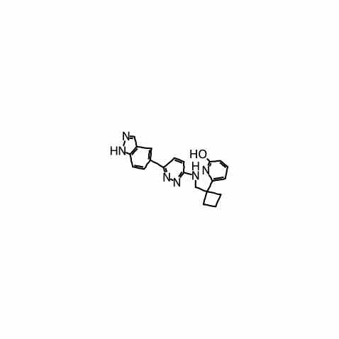 Oc1cccc(C2(CNc3ccc(-c4ccc5[nH]ncc5c4)nn3)CCC2)n1